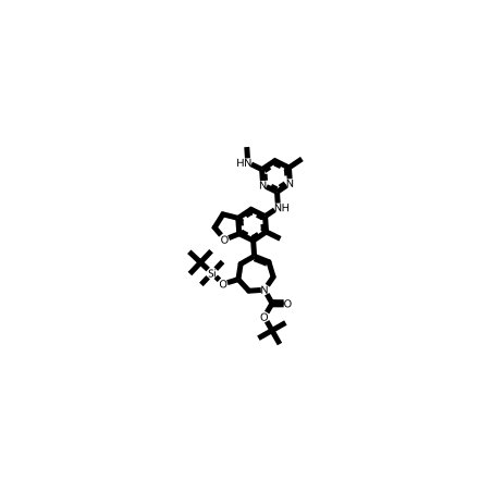 CNc1cc(C)nc(Nc2cc3c(c(C4=CCN(C(=O)OC(C)(C)C)CC(O[Si](C)(C)C(C)(C)C)C4)c2C)OCC3)n1